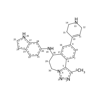 Cc1nnn2c1-c1ccc(C3=CCNCC3)cc1C(Nc1ccc3cc[nH]c3c1)CC2